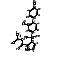 O=C(OC(=O)C(F)(F)F)c1[nH]nnc1C(F)(F)c1ccc(-c2ccc(Cl)cc2)c(Cl)c1